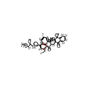 CCCCc1ccccc1C(=O)C(CC1=C(O)C(=O)c2ccccc2C1=O)C(=O)c1ccc(OCC(=O)CO)cc1